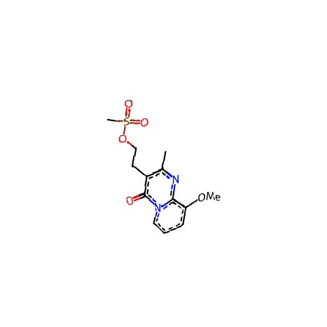 COc1cccn2c(=O)c(CCOS(C)(=O)=O)c(C)nc12